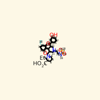 CCC1C(C(=O)O)CCCN1C(=O)C1CN(CCN(C)S(C)(=O)=O)CC(C(=O)c2cccc(O)c2)C1c1cccc(F)c1C